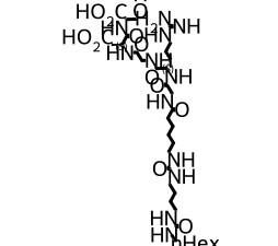 CCCCCCNC(=O)NCCCCNC(=O)NCCCCCC(=O)NCC(=O)N[C@@H](CCCNC(=N)N)C(=O)NCC(=O)N[C@@H](CC(=O)O)C(=O)NC(CO)C(=O)O